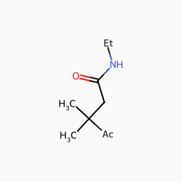 CCNC(=O)CC(C)(C)C(C)=O